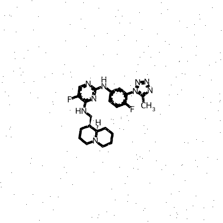 Cc1nnnn1-c1cc(Nc2ncc(F)c(NC[C@@H]3CCCN4CCCC[C@H]34)n2)ccc1F